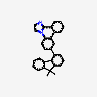 CC1(C)c2ccccc2-c2c(-c3ccc4c(c3)c3ccccc3c3nccn43)cccc21